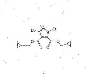 CCc1oc(CC)c(C(=O)OCC2CC2)c1C(=O)OCC1CC1